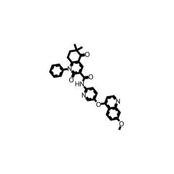 COc1ccc2c(Oc3ccc(NC(=O)c4cc5c(n(-c6ccccc6)c4=O)CCC(C)(C)C5=O)nc3)ccnc2c1